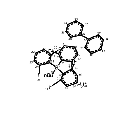 CCCC[B-](c1c(F)cccc1F)(c1c(F)cccc1F)c1c(F)cccc1F.[IH2+].c1ccc(-c2ccccc2)cc1